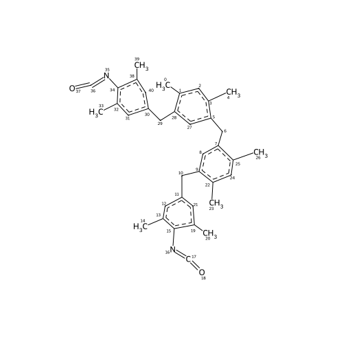 Cc1cc(C)c(Cc2cc(Cc3cc(C)c(N=C=O)c(C)c3)c(C)cc2C)cc1Cc1cc(C)c(N=C=O)c(C)c1